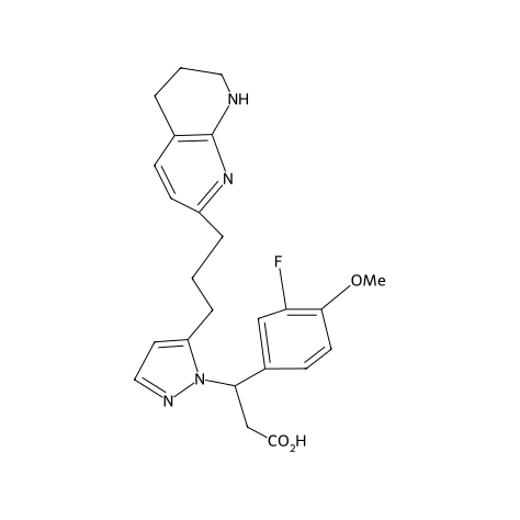 COc1ccc(C(CC(=O)O)n2nccc2CCCc2ccc3c(n2)NCCC3)cc1F